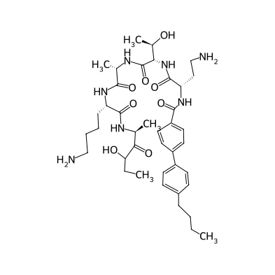 CCCCc1ccc(-c2ccc(C(=O)N[C@@H](CCN)C(=O)N[C@H](C(=O)N[C@@H](C)C(=O)N[C@@H](CCCCN)C(=O)N[C@@H](C)C(=O)C(O)CC)[C@@H](C)O)cc2)cc1